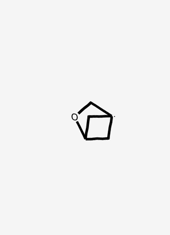 C1OC2C[C]1C2